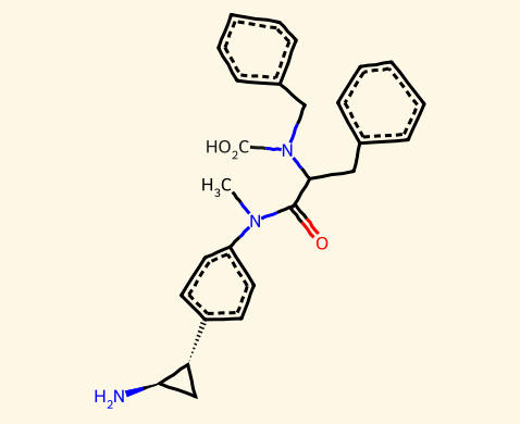 CN(C(=O)C(Cc1ccccc1)N(Cc1ccccc1)C(=O)O)c1ccc([C@@H]2C[C@H]2N)cc1